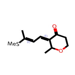 CS/C(C)=C/C=C1/C(=O)CCOC1C